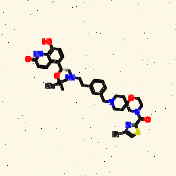 CC(C)c1csc(C(=O)N2CCOC3(CCN(Cc4cccc(CCNC[C@H](O[Si](C)(C)C(C)(C)C)c5ccc(O)c6[nH]c(=O)ccc56)c4)CC3)C2)n1